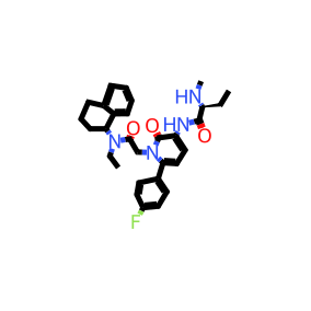 CC[C@H](NC)C(=O)Nc1ccc(-c2ccc(F)cc2)n(CC(=O)N(CC)C2CCCc3ccccc32)c1=O